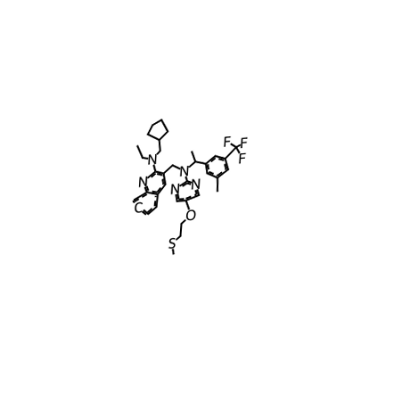 CCN(CC1CCCC1)c1nc2ccccc2cc1CN(c1ncc(OCCSC)cn1)C(C)c1cc(C)cc(C(F)(F)F)c1